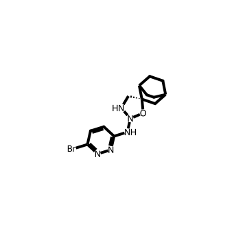 Brc1ccc(NN2NC[C@]3(CC4CCC3CC4)O2)nn1